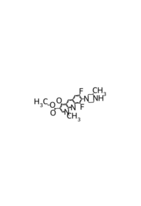 CCOC(=O)c1cn(C)c2nc3c(F)c(N4CCNC(C)C4)c(F)cc3cc2c1=O